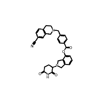 N#Cc1ccc2c(c1)CN(Cc1ccc(C(=O)Oc3cccc4c3CN(C3CCC(=O)NC3=O)C4)cc1)CC2